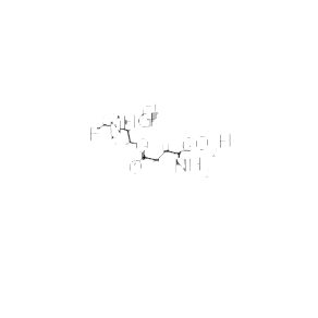 C[N+](C)(CF)CCOC(=O)CCC(N)C(=O)O.Cl.[Cl-]